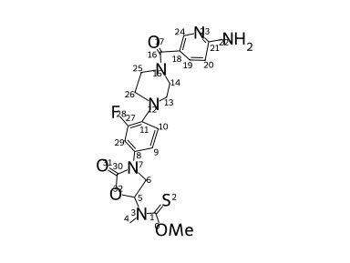 COC(=S)N(C)C1CN(c2ccc(N3CCN(C(=O)c4ccc(N)nc4)CC3)c(F)c2)C(=O)O1